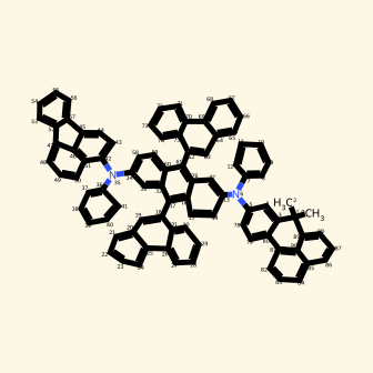 CC1(C)c2cc(N(c3ccccc3)c3ccc4c(-c5cc6ccccc6c6ccccc56)c5cc(N(c6ccccc6)c6ccc7c8c(cccc68)-c6ccccc6-7)ccc5c(-c5cc6ccccc6c6ccccc56)c4c3)ccc2-c2cccc3cccc1c23